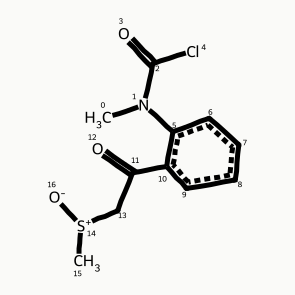 CN(C(=O)Cl)c1ccccc1C(=O)C[S+](C)[O-]